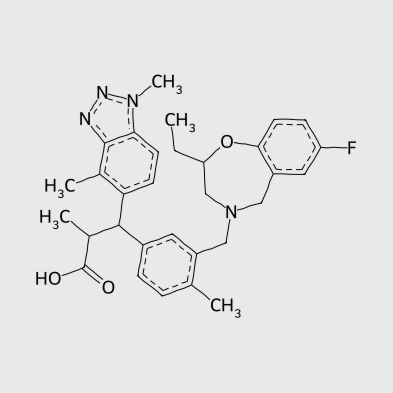 CCC1CN(Cc2cc(C(c3ccc4c(nnn4C)c3C)C(C)C(=O)O)ccc2C)Cc2cc(F)ccc2O1